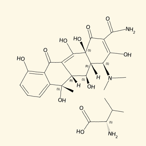 CC(C)[C@H](N)C(=O)O.CN(C)[C@@H]1C(O)=C(C(N)=O)C(=O)[C@@]2(O)C(O)=C3C(=O)c4c(O)cccc4[C@@](C)(O)[C@H]3[C@H](O)[C@@H]12